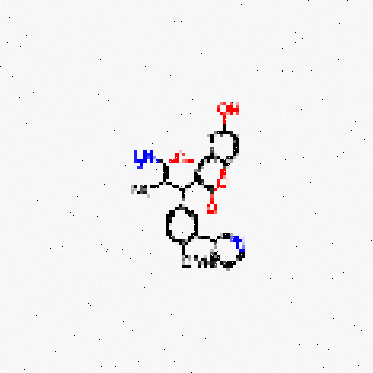 COc1ccc(C2C(C#N)=C(N)Oc3c2c(=O)oc2ccc(O)cc32)cc1-c1cccnc1